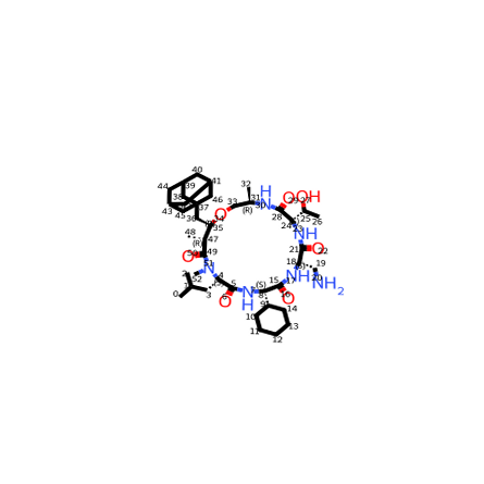 CC(C)C[C@H]1C(=O)N[C@@H](C2CCCCC2)C(=O)N[C@@H](CN)C(=O)N[C@@H](C(C)O)C(=O)N[C@H](C)CO[C@H](CC23CC4CC(CC(C4)C2)C3)[C@@H](C)C(=O)N1C